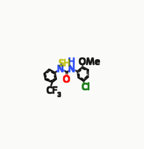 COc1ccc(Cl)cc1NC(=O)N(S)c1cccc(C(F)(F)F)c1